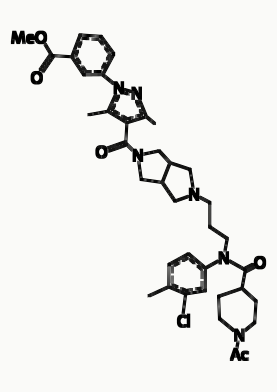 COC(=O)c1cccc(-n2nc(C)c(C(=O)N3CC4CN(CCCN(C(=O)C5CCN(C(C)=O)CC5)c5ccc(C)c(Cl)c5)CC4C3)c2C)c1